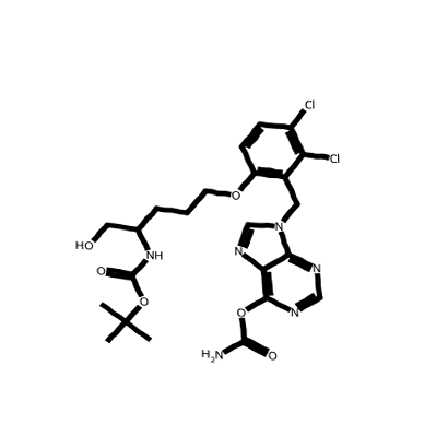 CC(C)(C)OC(=O)NC(CO)CCCOc1ccc(Cl)c(Cl)c1Cn1cnc2c(OC(N)=O)ncnc21